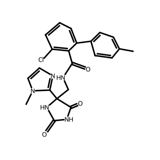 Cc1ccc(-c2cccc(Cl)c2C(=O)NCC2(c3nccn3C)NC(=O)NC2=O)cc1